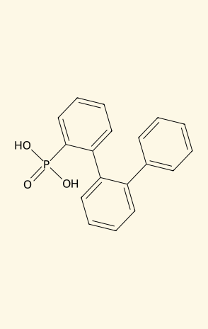 O=P(O)(O)c1ccccc1-c1ccccc1-c1ccccc1